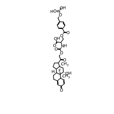 C[C@]12C[C@H](O)C3(F)[C@@H](CCC4=CC(=O)C=C[C@@]43C)C1CCC2C(=O)COC(=O)NC(COC(=O)c1ccc(CON(O)O)cc1)C(=O)O